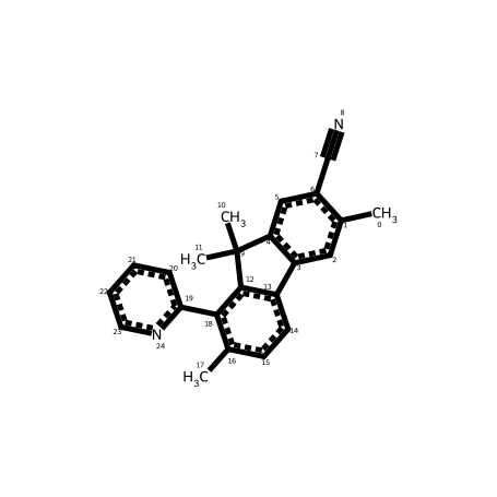 Cc1cc2c(cc1C#N)C(C)(C)c1c-2ccc(C)c1-c1ccccn1